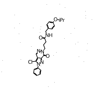 CC(C)Oc1ccc(CNC(=O)CCCn2ncc3c(Cl)n(-c4ccccc4)nc3c2=O)cc1